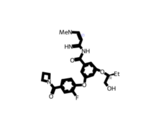 CC[C@@H](CO)Oc1cc(Oc2ccc(C(=O)N3CCC3)cc2F)cc(C(=O)NC(=N)/C=C\NC)c1